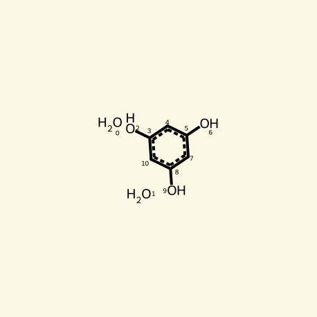 O.O.Oc1cc(O)cc(O)c1